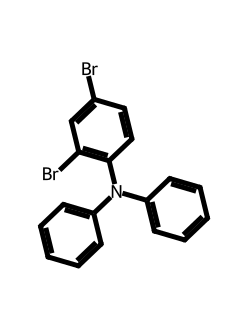 Brc1ccc(N(c2ccccc2)c2ccccc2)c(Br)c1